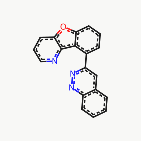 c1ccc2nnc(-c3cccc4oc5cccnc5c34)cc2c1